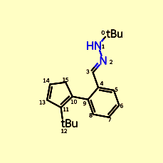 CC(C)(C)NN=Cc1ccccc1C1=C(C(C)(C)C)C=CC1